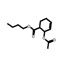 CCCCOC(=O)C1CCC=CC1OC(C)=O